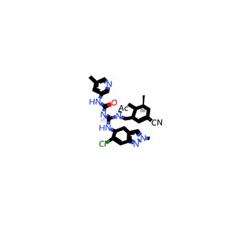 CC(=O)N(CC1C=C(C#N)C[C@H](C)C1C)/C(=N\C(=O)Nc1cncc(C)c1)NC1Cc2cn(C)nc2C=C1Cl